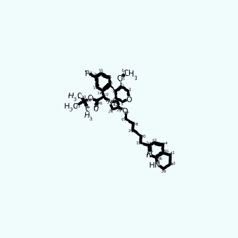 CO[C@@H]1COCC[C@H]1c1ccc(F)cc1C(C(=O)OC(C)(C)C)N1CC(OCCCCCc2ccc3c(n2)NCCC3)C1